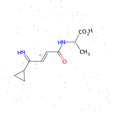 CC(NC(=O)/C=C/C(=N)C1CC1)C(=O)O